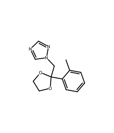 Cc1ccccc1C1(Cn2cncn2)OCCO1